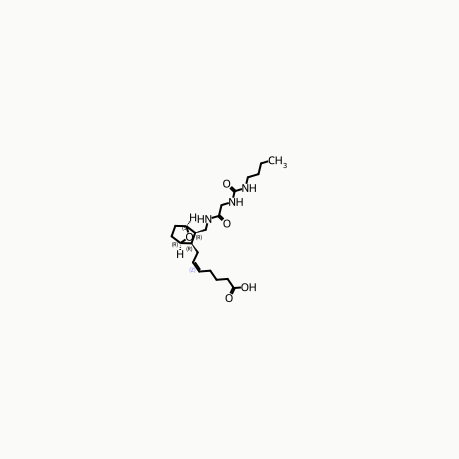 CCCCNC(=O)NCC(=O)NC[C@H]1[C@@H](C/C=C\CCCC(=O)O)[C@H]2CC[C@@H]1O2